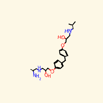 CC(C)CNCC(O)COc1ccc(Cc2ccc(OCC(O)CNCC(C)N)cc2)cc1